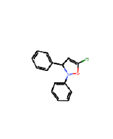 ClC1=CC(c2ccccc2)N(c2ccccc2)O1